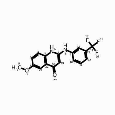 COc1ccc2[nH]c(Nc3cccc(C(F)(F)F)c3)cc(=O)c2c1